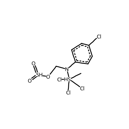 C[SH](Cl)(Cl)(Cl)N(CO[SH](=O)=O)c1ccc(Cl)cc1